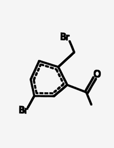 CC(=O)c1cc(Br)ccc1CBr